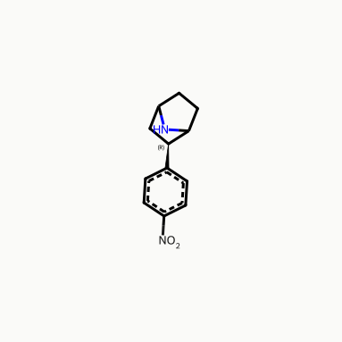 O=[N+]([O-])c1ccc([C@H]2CC3CCC2N3)cc1